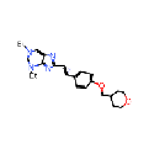 CCN1C=C2N=C(/C=C/c3ccc(OCC4CCOCC4)cc3)N=C2N(CC)C1